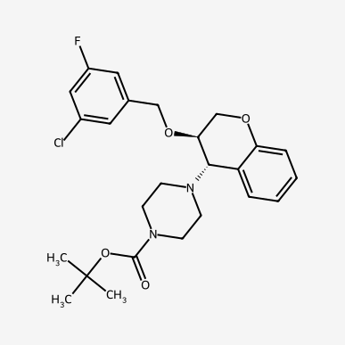 CC(C)(C)OC(=O)N1CCN([C@H]2c3ccccc3OC[C@@H]2OCc2cc(F)cc(Cl)c2)CC1